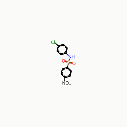 O=[N+]([O-])c1ccc(S(=O)(=O)Nc2ccc(Cl)cc2)cc1